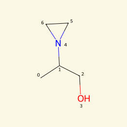 CC(CO)N1CC1